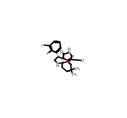 CC1(C)CCC2(CC1)NC[C@H](c1cccc(Cl)c1F)[C@]21C(=O)Nc2nc(Cl)ccc21